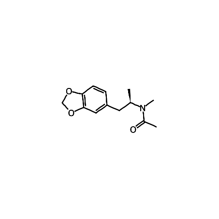 CC(=O)N(C)[C@H](C)Cc1ccc2c(c1)OCO2